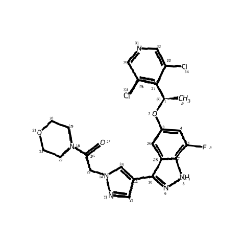 C[C@@H](Oc1cc(F)c2[nH]nc(-c3cnn(CC(=O)N4CCOCC4)c3)c2c1)c1c(Cl)cncc1Cl